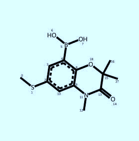 CSc1cc(B(O)O)c2c(c1)N(C)C(=O)C(C)(C)O2